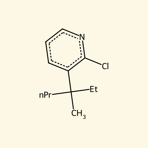 CCCC(C)(CC)c1cccnc1Cl